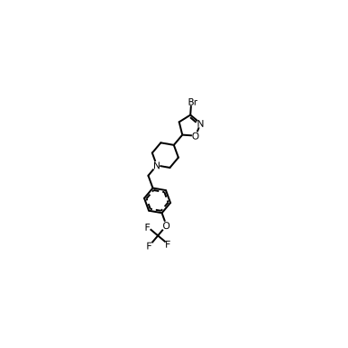 FC(F)(F)Oc1ccc(CN2CCC(C3CC(Br)=NO3)CC2)cc1